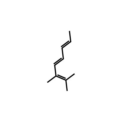 CC=CC=CC(C)=C(C)C